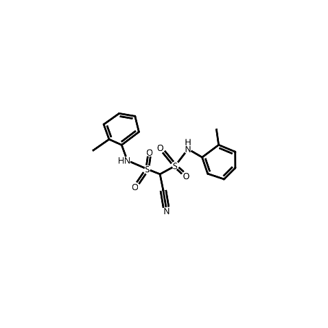 Cc1ccccc1NS(=O)(=O)C(C#N)S(=O)(=O)Nc1ccccc1C